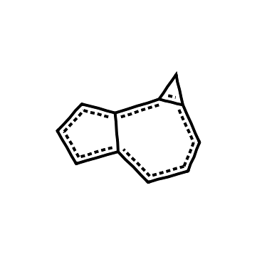 c1cc2cccc-2c2c(c1)C2